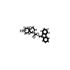 O=C(OCC1c2ccccc2-c2ccccc21)N1CCOC2(CCNCC2)C1